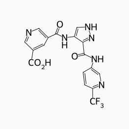 O=C(O)c1cncc(C(=O)Nc2c[nH]nc2C(=O)Nc2ccc(C(F)(F)F)nc2)c1